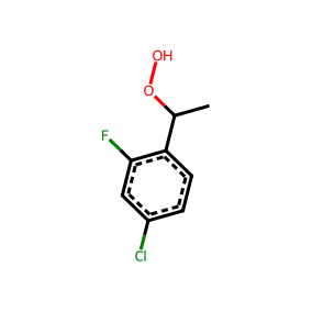 CC(OO)c1ccc(Cl)cc1F